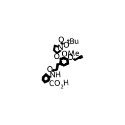 C#CCOc1ccc(/C=C/C(=O)Nc2ccccc2C(=O)O)c(OC2CCN(C(=O)OC(C)(C)C)C2)c1OC